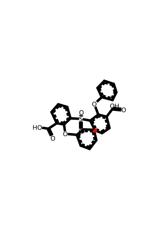 O=C(O)c1cccc(S(=O)(=O)c2cccc(C(=O)O)c2Oc2ccccc2)c1Oc1ccccc1